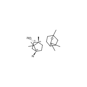 CC1(C)[C@@H]2CC[C@@]1(C)[C@@H](O)C2.CC12CCC(CC1)C(C)(C)O2